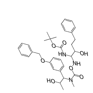 CC(O)C(c1cccc(OCc2ccccc2)c1)N(C)C(=O)ONC(NC(=O)OC(C)(C)C)C(O)CCc1ccccc1